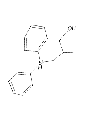 CC(CO)C[SiH](c1ccccc1)c1ccccc1